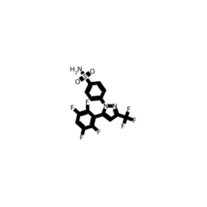 NS(=O)(=O)c1ccc(-n2nc(C(F)(F)F)cc2-c2c(F)c(F)cc(F)c2F)cc1